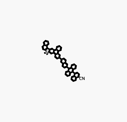 C[Si]1(C)c2cc3c4ccc(-c5ccc6cc(-c7c8ccccc8c(-c8ccc(C#N)c9ccccc89)c8ccccc78)ccc6c5)cc4c4ccccc4c3cc2-c2c1ccc1ccccc21